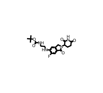 CC(C)(C)OC(=O)NCCNc1cc2c(cc1F)C(=O)N(C1CCC(=O)NC1=O)C2